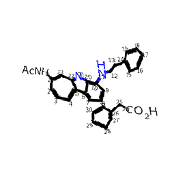 CC(=O)Nc1cccc2c3cccc(NCCc4ccccc4)c3nc-2c1.O=C(O)Cc1ccccc1